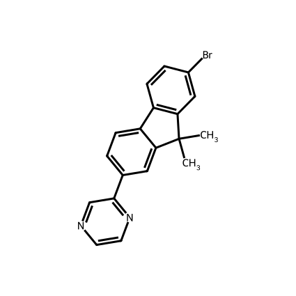 CC1(C)c2cc(Br)ccc2-c2ccc(-c3cnccn3)cc21